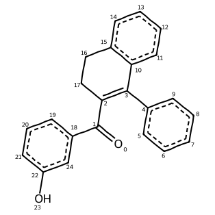 O=C(C1=C(c2ccccc2)c2ccccc2CC1)c1cccc(O)c1